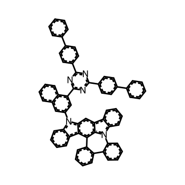 c1ccc(-c2ccc(-c3nc(-c4ccc(-c5ccccc5)cc4)nc(-c4cc(-n5c6ccccc6c6c7c8c(cc65)c5ccccc5n8-c5ccccc5-c5ccccc5-7)cc5ccccc45)n3)cc2)cc1